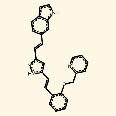 C(=Cc1cc(C=Cc2ccccc2OCc2ccccn2)[nH]n1)c1ccc2cc[nH]c2c1